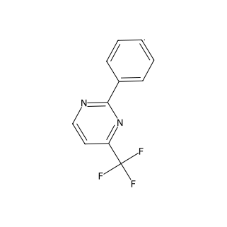 FC(F)(F)c1ccnc(-c2cc[c]cc2)n1